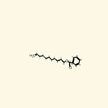 C=CCCCCCCCCCOC(Cl)c1ccccc1